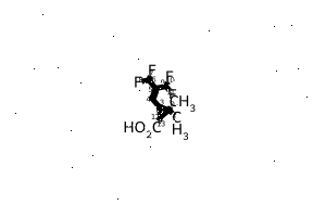 CC1(C)C(C=C(C(F)F)C(F)F)C1C(=O)O